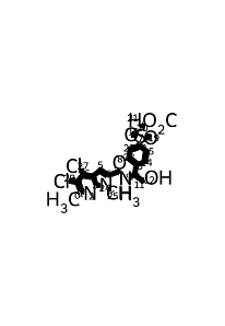 Cc1nc2c(cc(C(=O)NC(CO)c3ccc(S(=O)(=O)CC(=O)O)cc3)n2C)c(Cl)c1Cl